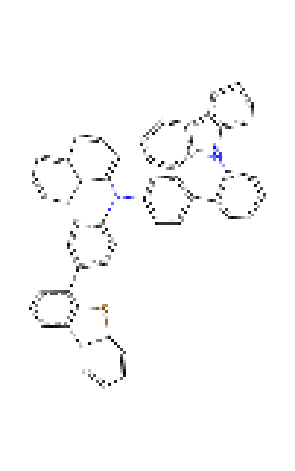 C1=CCC2C(=C1)C=CC=C2N(c1ccc(-c2ccccc2-n2c3ccccc3c3ccccc32)cc1)c1ccc(-c2cccc3c2SC2C=CC=CC32)cc1